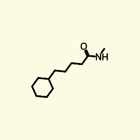 CNC(=O)CCCCC1CCCCC1